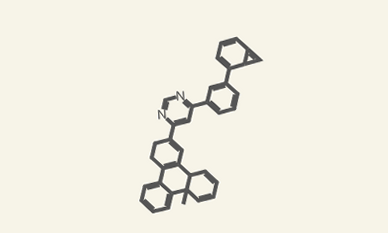 CC12C=CC=CC1C1=C(CCC(c3cc(-c4cccc(C5=CC=CC6=CC65)c4)ncn3)=C1)c1ccccc12